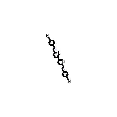 N#Cc1ccc(/C=C/c2ccc(-c3ccc(/C=C/c4ccc(C#N)cc4)nc3)cn2)cc1